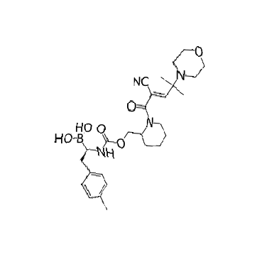 Cc1ccc(C[C@H](NC(=O)OCC2CCCCN2C(=O)C(C#N)=CC(C)(C)N2CCOCC2)B(O)O)cc1